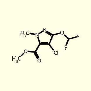 COC(=O)c1c(Cl)c(OC(F)F)nn1C